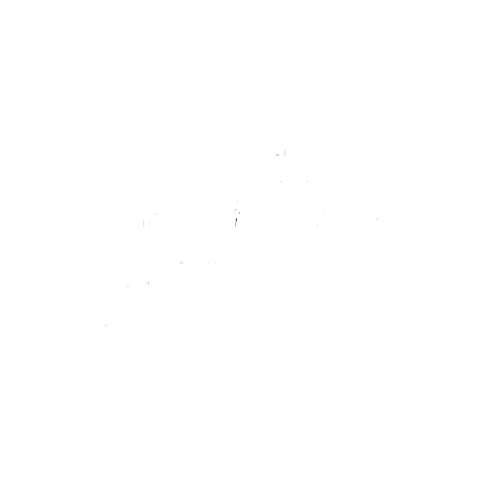 CCC(C)C(=O)Oc1ccc(C[C@H](N)C(=O)O[C@@H](C)COC(=O)OCC(C)(C)C)cc1OC(=O)C(C)CC